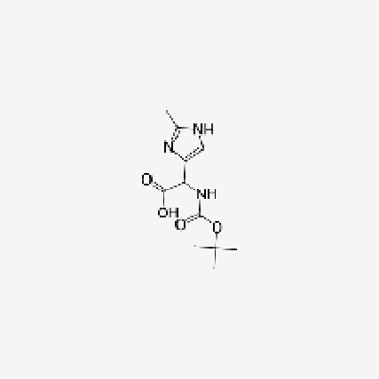 Cc1nc(C(NC(=O)OC(C)(C)C)C(=O)O)c[nH]1